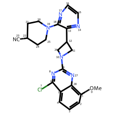 COc1cccc2c(Cl)nc(N3CC(c4nccnc4N4CCC(C#N)CC4)C3)nc12